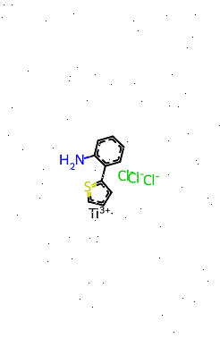 Nc1ccccc1-c1cccs1.[Cl-].[Cl-].[Cl-].[Ti+3]